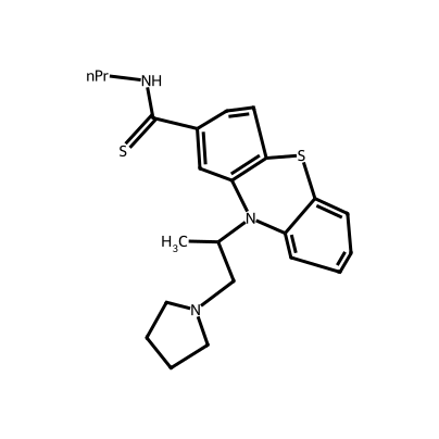 CCCNC(=S)c1ccc2c(c1)N(C(C)CN1CCCC1)c1ccccc1S2